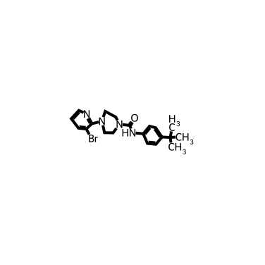 CC(C)(C)c1ccc(NC(=O)N2CCN(c3ncccc3Br)CC2)cc1